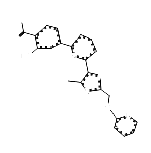 Cc1nc(COc2ccccn2)sc1-c1cccc(-c2ccc(C(=O)O)c(O)c2)n1